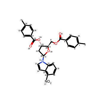 Cc1ccc(C(=O)OC[C@H]2O[C@@H](n3ccc4c([N+](=O)[O-])cccc43)C[C@@H]2OC(=O)c2ccc(C)cc2)cc1